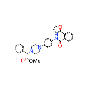 COC(=O)C(c1ccccc1)N1CCN(c2ccc(NC(=O)c3ccccc3-c3ccco3)cc2)CC1